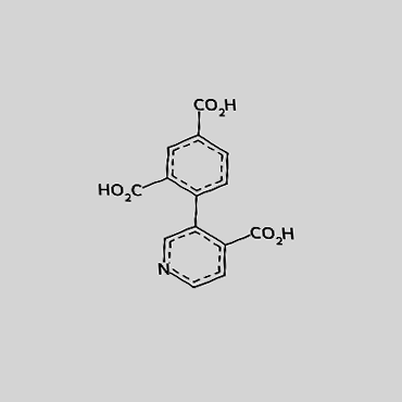 O=C(O)c1ccc(-c2cnccc2C(=O)O)c(C(=O)O)c1